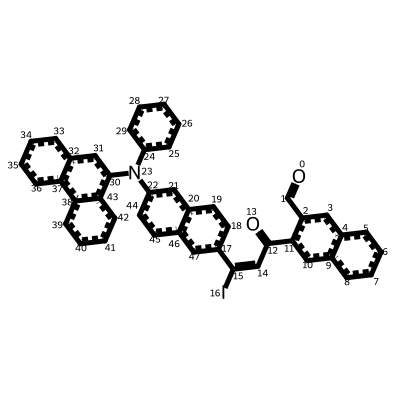 O=Cc1cc2ccccc2cc1C(=O)/C=C(/I)c1ccc2cc(N(c3ccccc3)c3cc4ccccc4c4ccccc34)ccc2c1